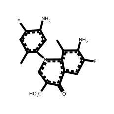 Cc1cc(F)c(N)cc1-n1cc(C(=O)O)c(=O)c2cc(F)c(N)c(C)c21